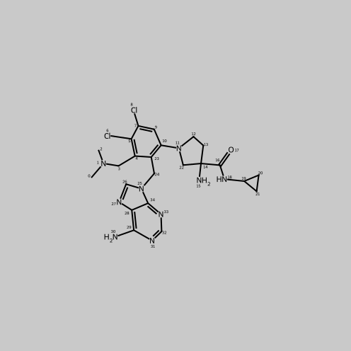 CN(C)Cc1c(Cl)c(Cl)cc(N2CCC(N)(C(=O)NC3CC3)C2)c1Cn1cnc2c(N)ncnc21